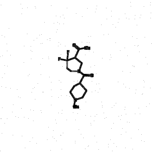 CC(C)(C)C(=O)C1CN(C(=O)C2CCN(C(C)(C)C)CC2)CCC1(F)F